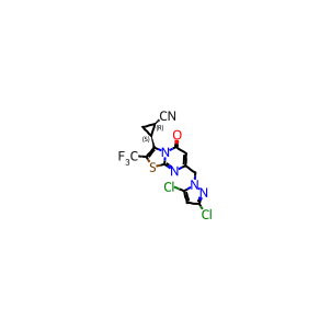 N#C[C@@H]1C[C@@H]1c1c(C(F)(F)F)sc2nc(Cn3nc(Cl)cc3Cl)cc(=O)n12